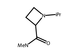 CNC(=O)C1CCN1C(C)C